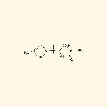 CC(C)(C)OC(=O)NC(C(=O)O)C(C)(C)c1ccc(C(F)(F)F)cc1